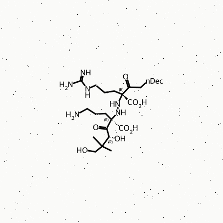 CCCCCCCCCCCC(=O)[C@@](CCCNC(=N)N)(NN[C@@](CCCN)(C(=O)O)C(=O)[C@H](O)C(C)(C)CO)C(=O)O